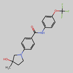 CC1(O)CCN(c2ccc(C(=O)Nc3ccc(OC(F)(F)F)cc3)cc2)C1